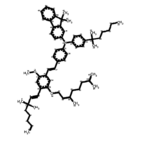 CCCCCC(C)(C)C=Cc1cc(OC)c(C=Cc2ccc(N(c3ccc(C(C)(C)CCCCC)cc3)c3ccc4c(c3)C(C)(C)c3ccccc3-4)cc2)cc1OCCC(C)CCCC(C)C